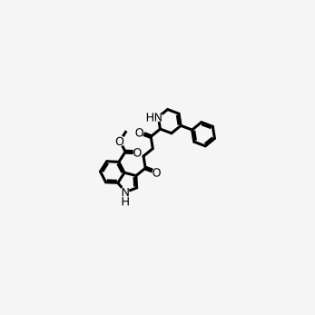 COC(=O)c1cccc2[nH]cc(C(=O)CCC(=O)C3CC(c4ccccc4)=CCN3)c12